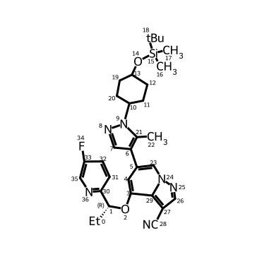 CC[C@@H](Oc1cc(-c2cnn(C3CCC(O[Si](C)(C)C(C)(C)C)CC3)c2C)cn2ncc(C#N)c12)c1ccc(F)cn1